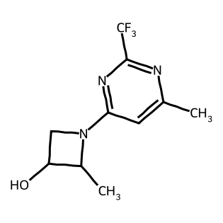 Cc1cc(N2CC(O)C2C)nc(C(F)(F)F)n1